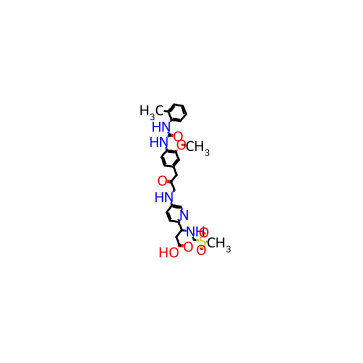 COc1cc(CC(=O)CNc2ccc(C(CC(=O)O)NCS(C)(=O)=O)nc2)ccc1NC(=O)Nc1ccccc1C